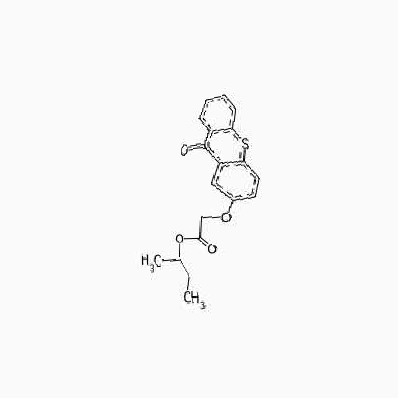 CCC(C)OC(=O)COc1ccc2sc3ccccc3c(=O)c2c1